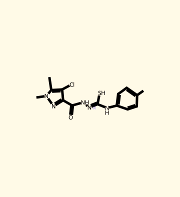 Cc1ccc(N/C(S)=N/NC(=O)c2nn(C)c(C)c2Cl)cc1